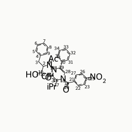 CC(=O)N(C(Cc1ccccc1)C(O)C(F)(F)F)N1C(=O)C(C(C)C)N(C(=O)c2ccc([N+](=O)[O-])cc2)C=C1c1ccccc1